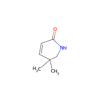 CC1(C)C=CC(=O)NC1